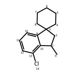 CC1CC2(CCCCC2)c2cccc(Cl)c21